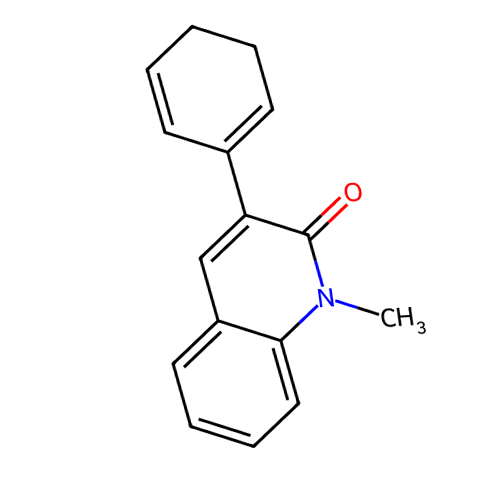 Cn1c(=O)c(C2=CCCC=C2)cc2ccccc21